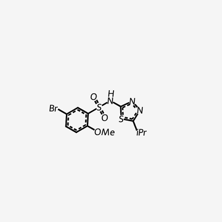 COc1ccc(Br)cc1S(=O)(=O)Nc1nnc(C(C)C)s1